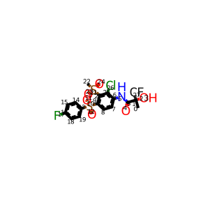 CC(O)(C(=O)Nc1ccc(S(=O)(=O)c2ccc(F)cc2)c(S(C)(=O)=O)c1Cl)C(F)(F)F